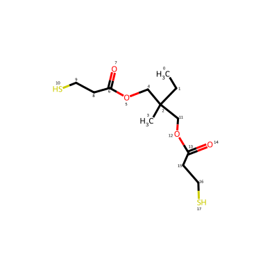 CCC(C)(COC(=O)CCS)COC(=O)CCS